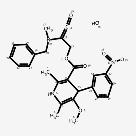 COC1=C(C)NC(C)=C(C(=O)OCC(=C=O)N(C)Cc2ccccc2)C1c1cccc([N+](=O)[O-])c1.Cl